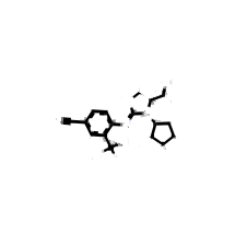 C[C@@H](O)[C@@H]1CS/C(=N\c2ccc(C#N)cc2C(C)(C)C)N1C1CCCC1